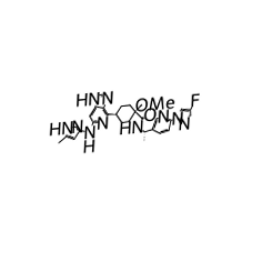 CO[C@]1(C(=O)N[C@@H](C)c2ccc(-n3cc(F)cn3)nc2)CC[C@H](c2nc(Nc3cc(C)[nH]n3)cc3[nH]cnc32)CC1